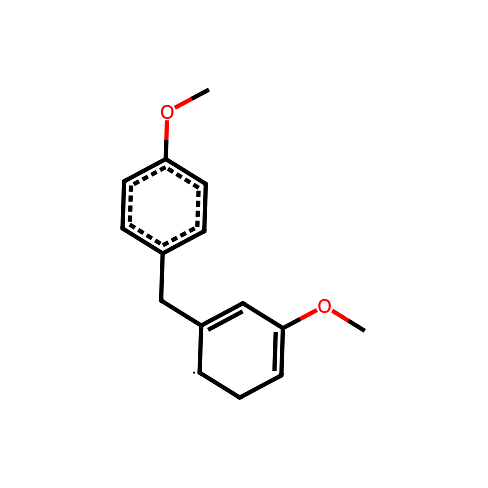 COC1=CC[CH]C(Cc2ccc(OC)cc2)=C1